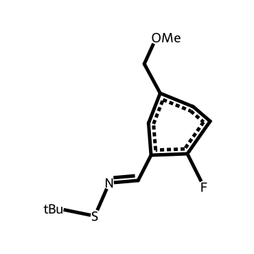 COCc1ccc(F)c(/C=N/SC(C)(C)C)c1